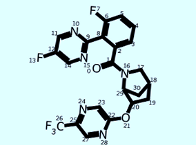 O=C(c1cccc(F)c1-c1ncc(F)cn1)N1CC2CC(Oc3cnc(C(F)(F)F)cn3)C1C2